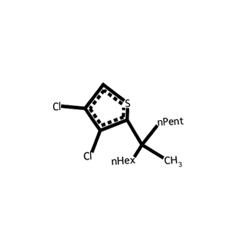 CCCCCCC(C)(CCCCC)c1scc(Cl)c1Cl